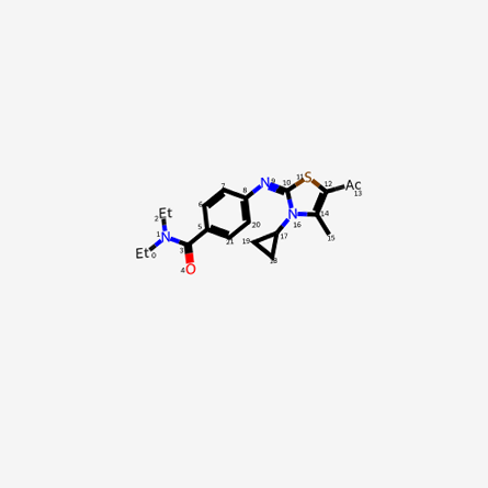 CCN(CC)C(=O)c1ccc(N=c2sc(C(C)=O)c(C)n2C2CC2)cc1